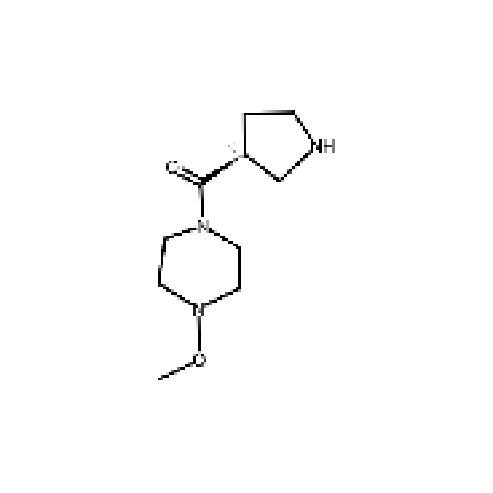 CON1CCN(C(=O)[C@H]2CCNC2)CC1